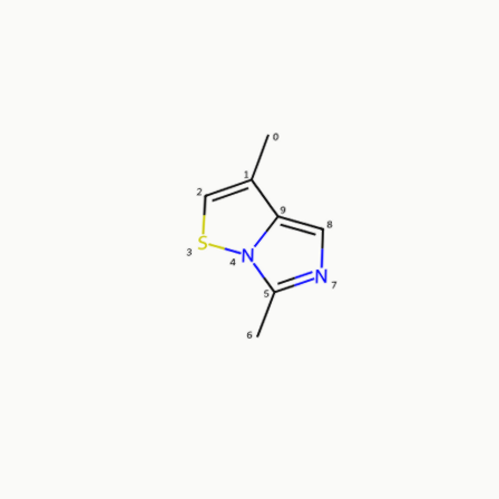 Cc1csn2c(C)ncc12